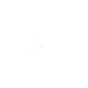 B[PH]1(O)OC[C@H](C)O[C@@H](n2c(O)nc3c(N)ncnc32)[C@@H](O)CO1